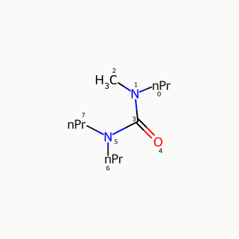 CCCN(C)C(=O)N(CCC)CCC